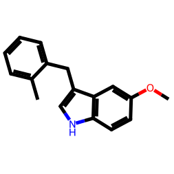 COc1ccc2[nH]cc(Cc3ccccc3C)c2c1